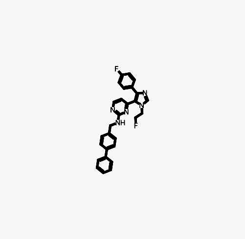 FCCn1cnc(-c2ccc(F)cc2)c1-c1ccnc(NCc2ccc(-c3ccccc3)cc2)n1